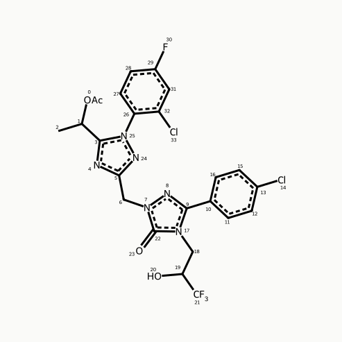 CC(=O)OC(C)c1nc(Cn2nc(-c3ccc(Cl)cc3)n(CC(O)C(F)(F)F)c2=O)nn1-c1ccc(F)cc1Cl